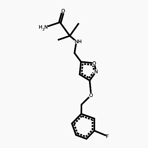 CC(C)(NCc1cc(OCc2cccc(F)c2)no1)C(N)=O